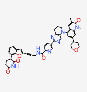 Cc1cc2c(N3CCCc4nc(-c5ccc(C(=O)NCC#Cc6cc7cccc(C8CCC(=O)NC8=O)c7o6)nc5)ncc43)cc(C3CCOCC3)cc2n(C)c1=O